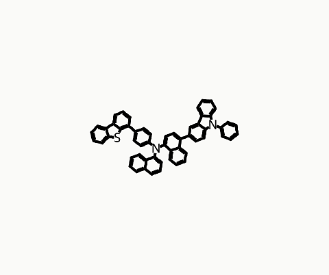 c1ccc(-n2c3ccccc3c3cc(-c4ccc(N(c5ccc(-c6cccc7c6sc6ccccc67)cc5)c5cccc6ccccc56)c5ccccc45)ccc32)cc1